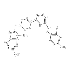 Cc1ccc(COc2nccc(C3=CCC(Cc4nc5ccc(C(=O)O)nc5n4C)CC3)n2)c(F)c1